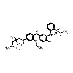 CCOc1cc(NCC(C)(C)CN(C)C)ccc1Nc1ncc(Cl)c(Nc2ccccc2S(=O)(=O)NC)n1